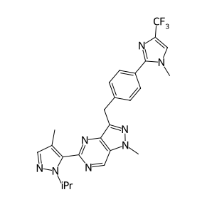 Cc1cnn(C(C)C)c1-c1ncc2c(n1)c(Cc1ccc(-c3nc(C(F)(F)F)cn3C)cc1)nn2C